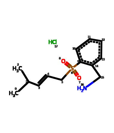 CC(C)C=CCS(=O)(=O)c1ccccc1CN.Cl